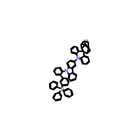 C[C@H]1C2CC3CC(C2)C2(c4ccccc4N(c4ccc5c(c4)c4ccccc4n5-c4ccccc4-c4cccc([Si](c5ccccc5)(c5ccccc5)c5ccccc5)c4)c4ccccc42)C1C3